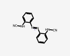 N#CNc1ccccc1/N=N/c1ccccc1NC#N